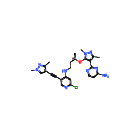 Cc1nn(C)cc1C#Cc1cnc(Cl)cc1NCC[C@@H](C)Oc1c(-c2nccc(N)n2)c(C)nn1C